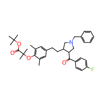 Cc1cc(CCC2CN(Cc3ccccc3)CC2C(=O)c2ccc(F)cc2)cc(C)c1OC(C)(C)C(=O)OC(C)(C)C